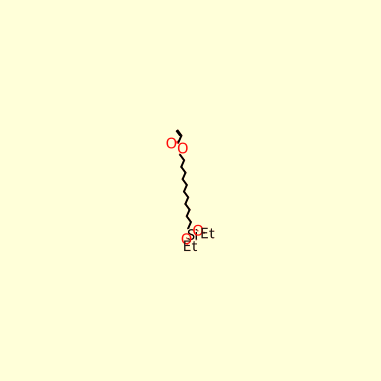 C=CC(=O)OCCCCCCCCCCCCC[Si](C)(OCC)OCC